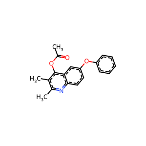 CC(=O)Oc1c(C)c(C)nc2ccc(Oc3ccccc3)cc12